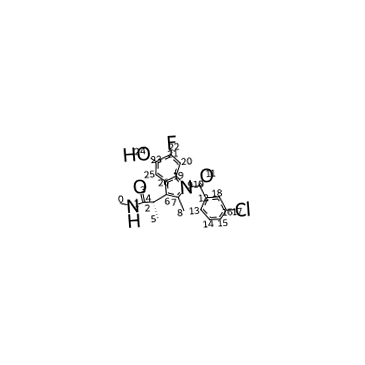 CNC(=O)[C@@H](C)c1c(C)n(C(=O)c2cccc(Cl)c2)c2cc(F)c(O)cc12